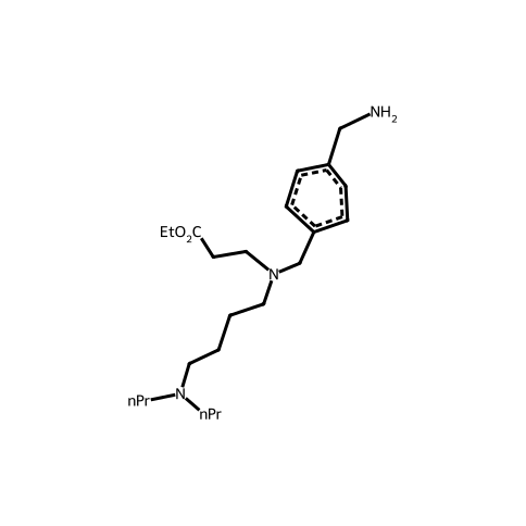 CCCN(CCC)CCCCN(CCC(=O)OCC)Cc1ccc(CN)cc1